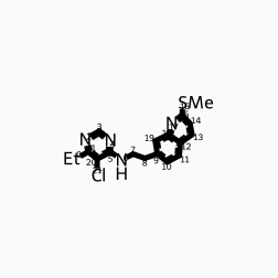 CCc1ncnc(NCCc2ccc3ccc(SC)nc3c2)c1Cl